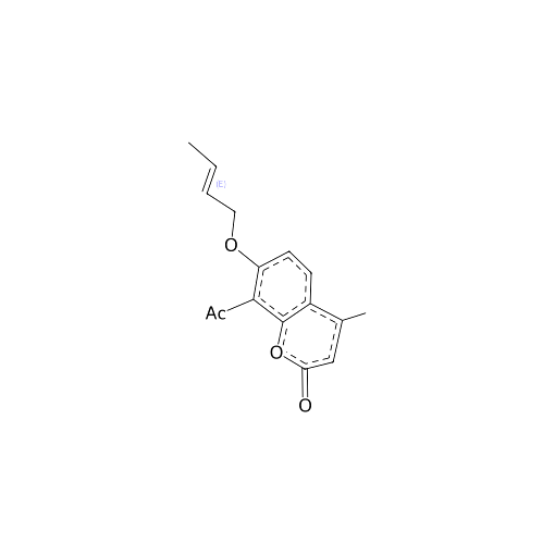 C/C=C/COc1ccc2c(C)cc(=O)oc2c1C(C)=O